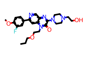 CCCOCCn1c(=O)c(N2CCN(CCO)CC2)nc2cnc(-c3ccc(OC)c(F)c3)cc21